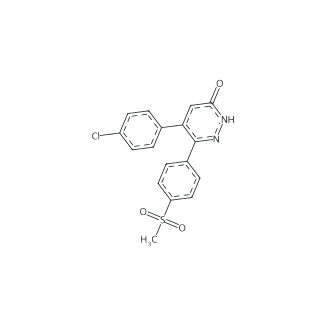 CS(=O)(=O)c1ccc(-c2n[nH]c(=O)cc2-c2ccc(Cl)cc2)cc1